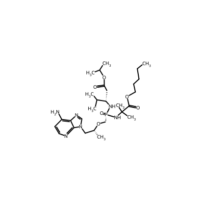 CCCCCOC(=O)C(C)(C)N[P@](=O)(CO[C@H](C)Cn1cnc2c(N)ccnc21)N[C@@H](CC(=O)OC(C)C)C(C)C